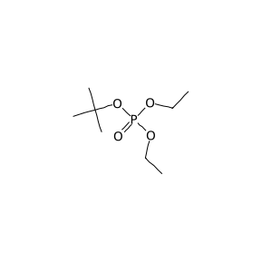 CCOP(=O)(OCC)OC(C)(C)C